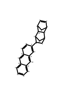 C1=CC2CC1C1C3CC(c4ccc5cc6ccccc6cc5c4)C(C3)C21